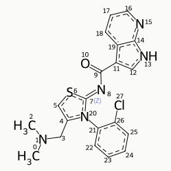 CN(C)Cc1cs/c(=N\C(=O)c2c[nH]c3ncccc23)n1-c1ccccc1Cl